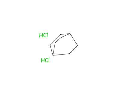 C1CC2CCC1CC2.Cl.Cl